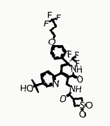 CC(C)(O)c1ccc(C2=C(CNC(=O)C3CS(=O)(=O)C3)C(=O)N[C@@](c3ccc(OCCCC(F)(F)F)cc3)(C(F)(F)F)C2)nc1